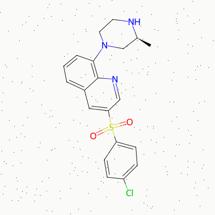 C[C@H]1CN(c2cccc3cc(S(=O)(=O)c4ccc(Cl)cc4)cnc23)CCN1